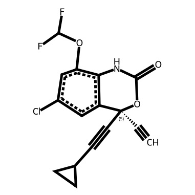 C#C[C@@]1(C#CC2CC2)OC(=O)Nc2c(OC(F)F)cc(Cl)cc21